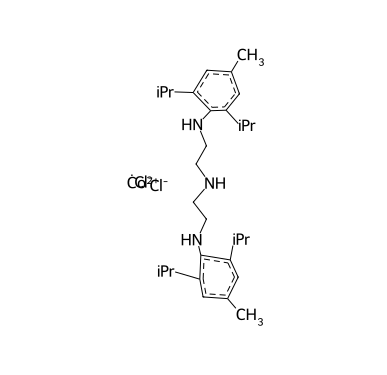 Cc1cc(C(C)C)c(NCCNCCNc2c(C(C)C)cc(C)cc2C(C)C)c(C(C)C)c1.[Cl-].[Cl-].[Co+2]